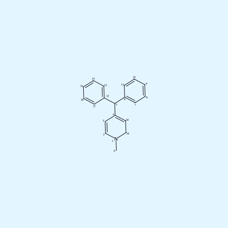 CN1C=CC(C(c2ccccc2)c2ccccc2)=CC1